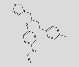 Cc1ccc(CCC(Cn2ccnc2)Oc2ccc(NC=O)cc2)cc1